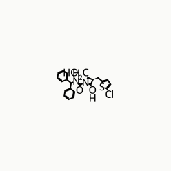 O=C(O)[C@@H]1[C@@H](Cc2ccc(Cl)s2)C(O)N1C(=O)NC(c1ccccc1)c1ccccc1